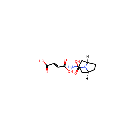 N[C@H]1C[C@H]2CC[C@@H](C1)N2C(=O)O.O=C(O)/C=C/C(=O)O